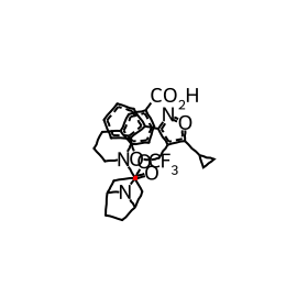 O=C(O)c1ccc2c(c1)CCCN2C(=O)N1C2CCC1CC(OCc1c(-c3ccccc3OC(F)(F)F)noc1C1CC1)C2